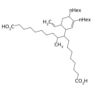 C=CC1CC(CCCCCC)C(CCCCCC)=CC1C(CCCCCCCC(=O)O)C(C)CCCCCCCC(=O)O